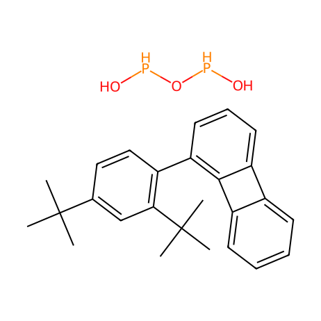 CC(C)(C)c1ccc(-c2cccc3c2-c2ccccc2-3)c(C(C)(C)C)c1.OPOPO